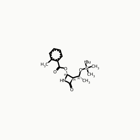 Cc1ccccc1C(=O)O[C@H]1NC(=O)[C@@H]1[C@@H](C)O[Si](C)(C)C(C)(C)C